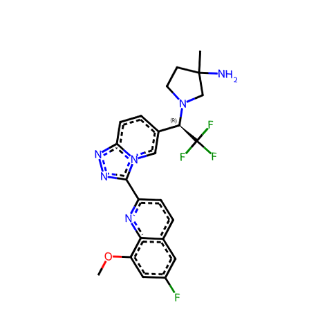 COc1cc(F)cc2ccc(-c3nnc4ccc([C@@H](N5CCC(C)(N)C5)C(F)(F)F)cn34)nc12